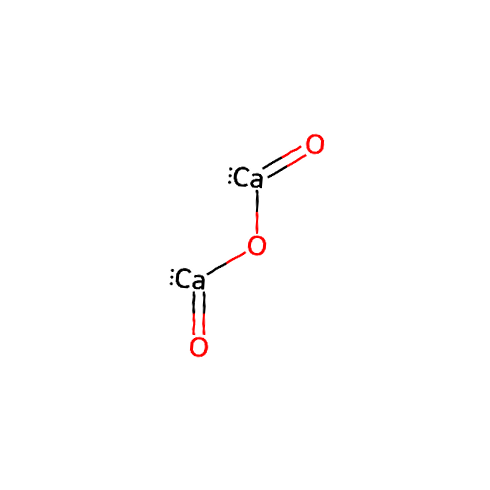 [O]=[Ca][O][Ca]=[O]